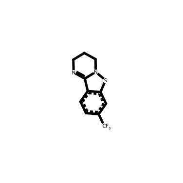 FC(F)(F)c1ccc2c(c1)SN1CCCN=C21